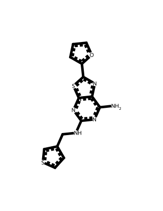 Nc1nc(NCc2ccsc2)nc2sc(-c3ccco3)nc12